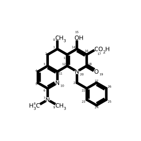 CC1Cc2ccc(N(C)C)nc2-c2c1c(O)c(C(=O)O)c(=O)n2Cc1ccccc1